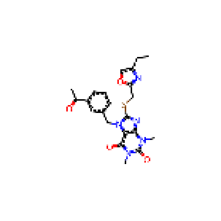 CCc1coc(CSc2nc3c(c(=O)n(C)c(=O)n3C)n2Cc2cccc(C(C)=O)c2)n1